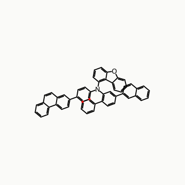 c1ccc(-c2ccc(-c3ccc4ccccc4c3)cc2N(c2ccc(-c3ccc4c(ccc5ccccc54)c3)cc2)c2cccc3oc4ccccc4c23)cc1